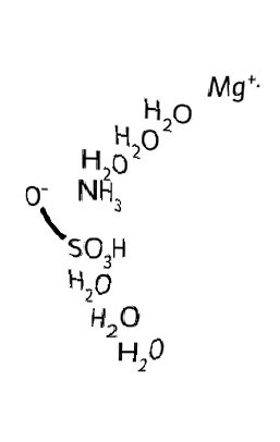 N.O.O.O.O.O.O.O=S(=O)([O-])O.[Mg+]